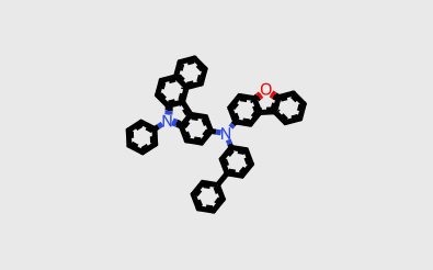 c1ccc(-c2cccc(N(c3ccc4oc5ccccc5c4c3)c3ccc4c(c3)c3c5ccccc5ccc3n4-c3ccccc3)c2)cc1